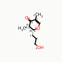 CC1=CO[C@H](CCCO)[C@H](C)C1=O